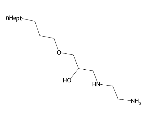 CCCCCCCCCCOCC(O)CNCCN